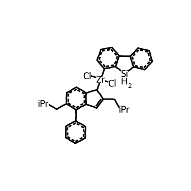 CC(C)CC1=Cc2c(ccc(CC(C)C)c2-c2ccccc2)[CH]1[Zr]([Cl])([Cl])[c]1cccc2c1[SiH2]c1ccccc1-2